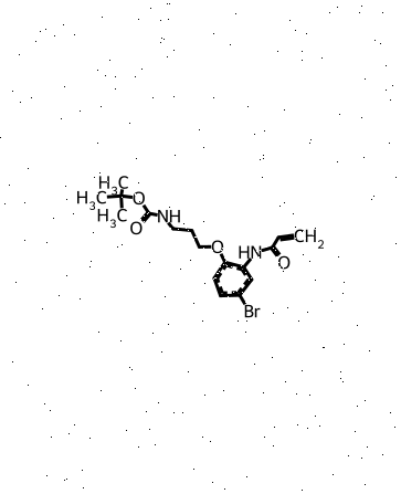 C=CC(=O)Nc1cc(Br)ccc1OCCCNC(=O)OC(C)(C)C